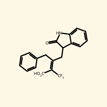 O=C(O)C(=C(Cc1ccccc1)CC1C(=O)Nc2ccccc21)C(F)(F)F